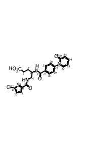 O=C(O)CCC(CNC(=O)c1ccc(Cl)s1)NC(=O)c1ccc(-n2ccccc2=O)cc1